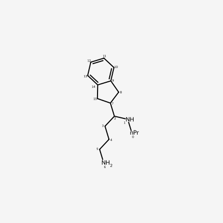 CCCNC(CCCN)C1Cc2ccccc2C1